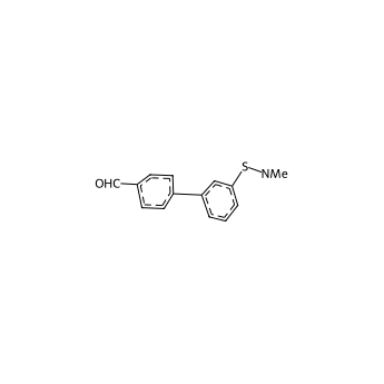 CNSc1cccc(-c2ccc(C=O)cc2)c1